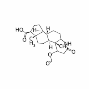 C[C@]12C(CC[C@@H]3[C@@H]1CC[C@]1(C)[C@@H](C(=O)O)CC[C@@H]31)NC(=O)CC2OC=O